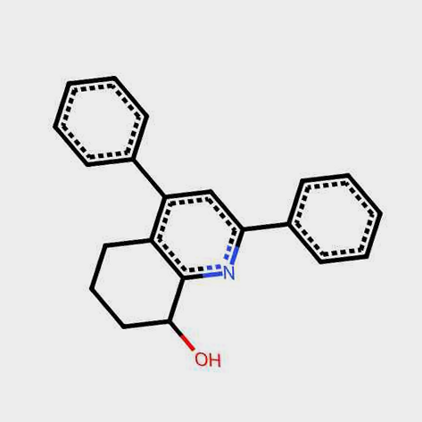 OC1CCCc2c(-c3ccccc3)cc(-c3ccccc3)nc21